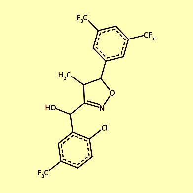 CC1C(C(O)c2cc(C(F)(F)F)ccc2Cl)=NOC1c1cc(C(F)(F)F)cc(C(F)(F)F)c1